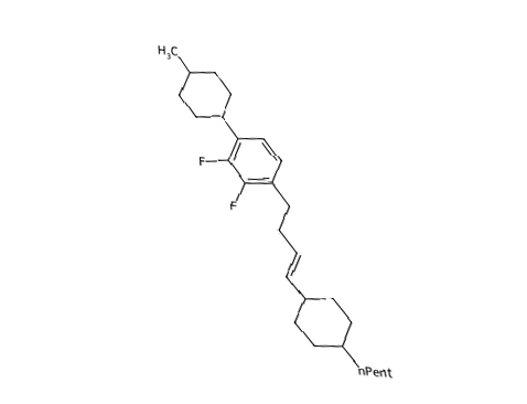 CCCCCC1CCC(/C=C/CCc2ccc(C3CCC(C)CC3)c(F)c2F)CC1